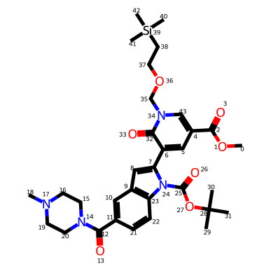 COC(=O)c1cc(-c2cc3cc(C(=O)N4CCN(C)CC4)ccc3n2C(=O)OC(C)(C)C)c(=O)n(COCC[Si](C)(C)C)c1